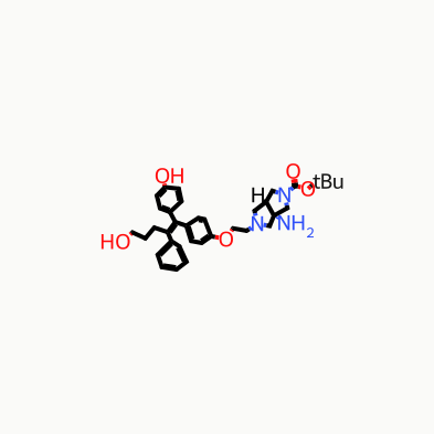 CC(C)(C)OC(=O)N1C[C@@H]2CN(CCOc3ccc(/C(=C(/CCCO)c4ccccc4)c4ccc(O)cc4)cc3)C[C@]2(N)C1